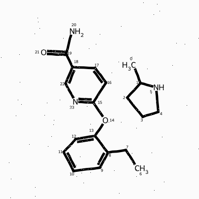 CC1CCCN1.CCc1ccccc1Oc1ccc(C(N)=O)cn1